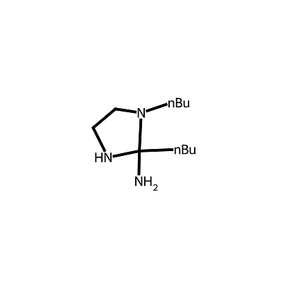 CCCCN1CCNC1(N)CCCC